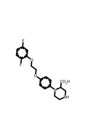 O=C(O)C1CNCCN1c1ccc(OCCOc2cc(F)ccc2F)cc1